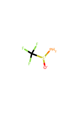 [O-][S+](P)C(F)(F)F